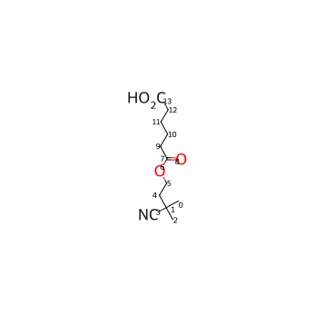 CC(C)(C#N)CCOC(=O)CCCCC(=O)O